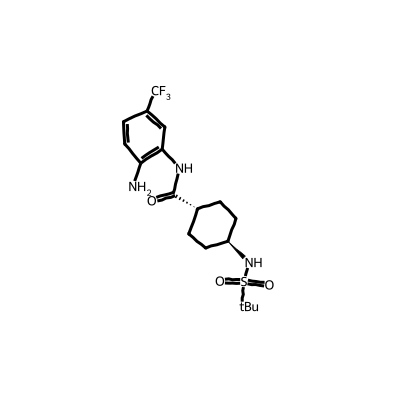 CC(C)(C)S(=O)(=O)N[C@H]1CC[C@H](C(=O)Nc2cc(C(F)(F)F)ccc2N)CC1